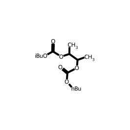 CCCCOC(=O)OC(C)[C](C)OC(=O)OCC(C)C